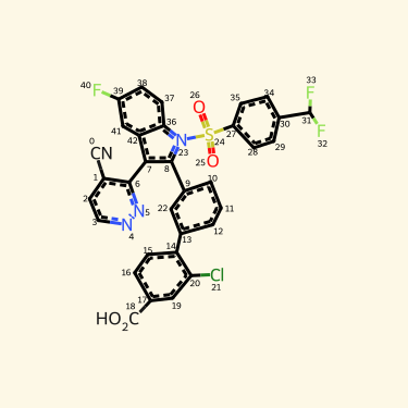 N#Cc1ccnnc1-c1c(-c2cccc(-c3ccc(C(=O)O)cc3Cl)c2)n(S(=O)(=O)c2ccc(C(F)F)cc2)c2ccc(F)cc12